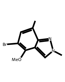 COc1c(Br)cc(C)c2nn(C)cc12